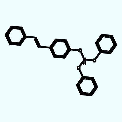 C(=Cc1ccc(O[SiH](Oc2ccccc2)Oc2ccccc2)cc1)c1ccccc1